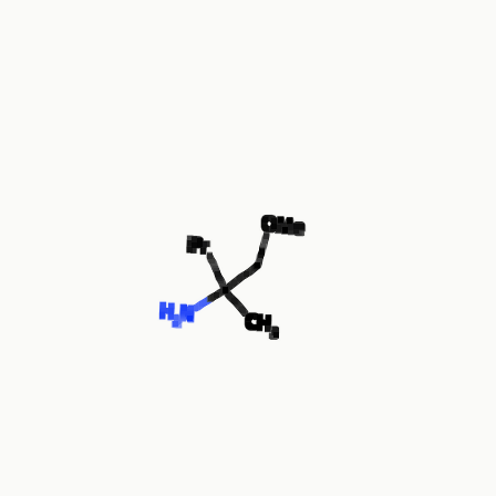 COCC(C)(N)C(C)C